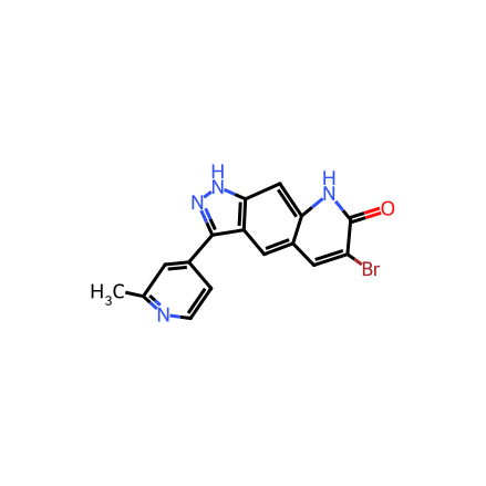 Cc1cc(-c2n[nH]c3cc4[nH]c(=O)c(Br)cc4cc23)ccn1